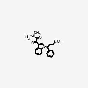 CNCCC(c1ccccc1)n1cc(C(=O)C(=O)N(C)C)c2ccccc21